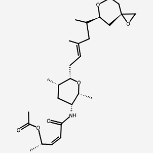 CC(=O)O[C@@H](C)/C=C\C(=O)N[C@@H]1C[C@H](C)[C@H](C/C=C(\C)CC(C)[C@@H]2C[C@@]3(CCO2)CO3)O[C@@H]1C